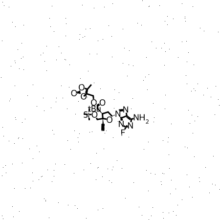 C#C[C@]1(CO[Si](C)(C)C(C)(C)C)O[C@@H](n2cnc3c(N)nc(F)nc32)C[C@@H]1CC(=O)OCc1oc(=O)oc1C